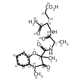 C[C@H](NC(=O)C1(C)Oc2ccccc2N(C)C1=O)C(=O)N[C@@H](CCC(=O)O)C(N)=O